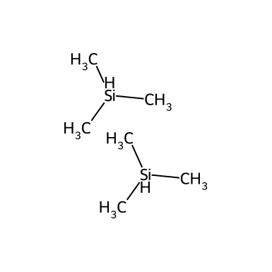 C[SiH](C)C.C[SiH](C)C